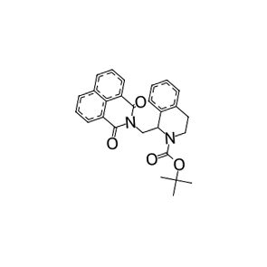 CC(C)(C)OC(=O)N1CCc2ccccc2C1CN1C(=O)c2cccc3cccc(c23)C1=O